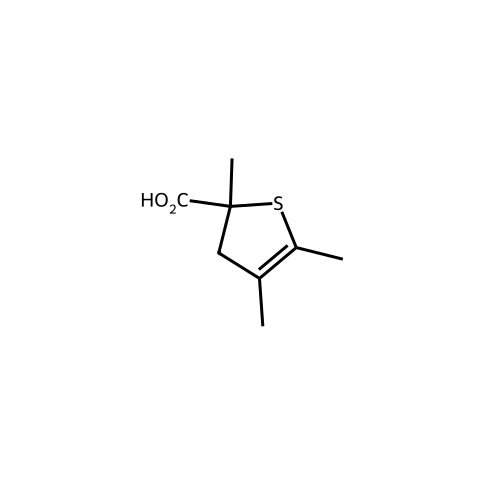 CC1=C(C)SC(C)(C(=O)O)C1